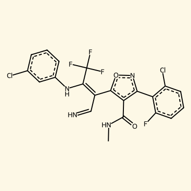 CNC(=O)c1c(-c2c(F)cccc2Cl)noc1/C(C=N)=C(/Nc1cccc(Cl)c1)C(F)(F)F